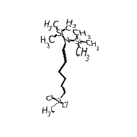 C[Si](Cl)(Cl)CCCCCCN([Si](C)(C)C)[Si](C)(C)C